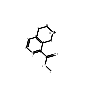 COC(=O)c1nccc2c1CNCC2